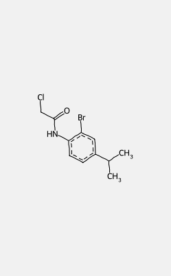 CC(C)c1ccc(NC(=O)CCl)c(Br)c1